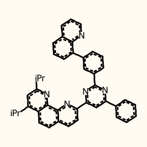 CC(C)c1cc(C(C)C)c2ccc3ccc(-c4cc(-c5ccccc5)nc(-c5cccc(-c6cccc7cccnc67)c5)n4)nc3c2n1